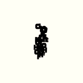 CCSN(Cc1cc(C(=O)NNC(=O)C(F)F)on1)c1cccc(Cl)c1